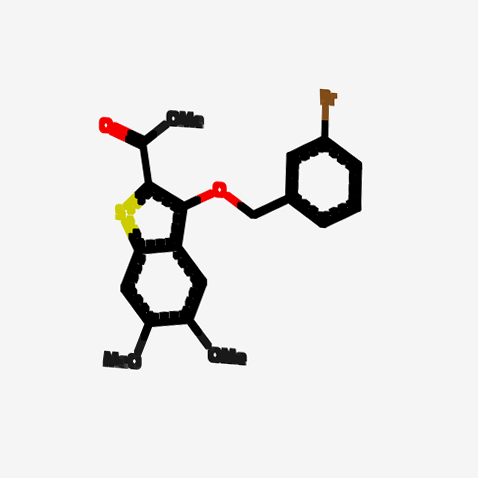 COC(=O)c1sc2cc(OC)c(OC)cc2c1OCc1cccc(Br)c1